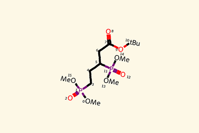 COP(=O)(CCC(CC(=O)OC(C)(C)C)P(=O)(OC)OC)OC